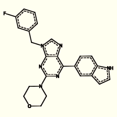 Fc1cccc(Cn2cnc3c(-c4ccc5[nH]ccc5c4)nc(N4CCOCC4)nc32)c1